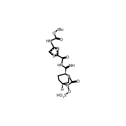 CC(C)(C)OC(=O)Nc1csc(C(=O)NC(=N)[C@@H]2CC[C@@H]3CN2C(=O)N3OS(=O)(=O)O)n1